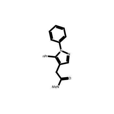 CCCc1c(CC(=O)NC)cnn1-c1ccccc1